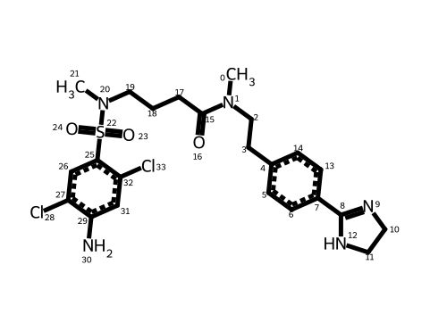 CN(CCc1ccc(C2=NCCN2)cc1)C(=O)CCCN(C)S(=O)(=O)c1cc(Cl)c(N)cc1Cl